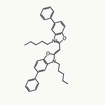 CCCCCN1/C(=C/c2oc3ccc(-c4ccccc4)cc3[n+]2CCCCC)Oc2ccc(-c3ccccc3)cc21